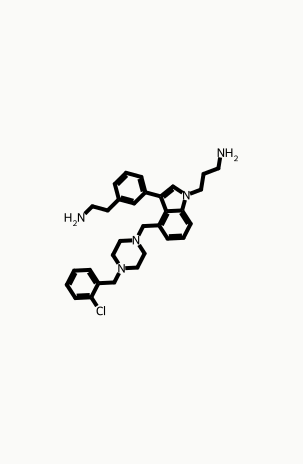 NCCCn1cc(-c2cccc(CCN)c2)c2c(CN3CCN(Cc4ccccc4Cl)CC3)cccc21